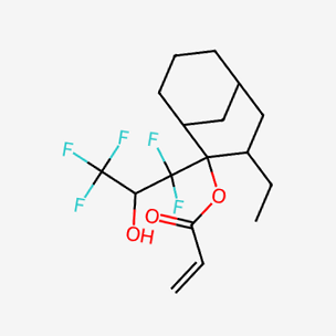 C=CC(=O)OC1(C(F)(F)C(O)C(F)(F)F)C(CC)CC2CCCC1C2